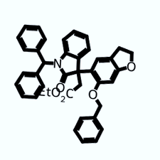 CCOC(=O)CC1(c2cc3c(cc2OCc2ccccc2)OCC3)C(=O)N(C(c2ccccc2)c2ccccc2)c2ccccc21